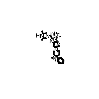 CCCC(c1nc2cc(N3CCC(c4ccccc4)(N(C)C)CC3)cnc2n1CC)N1CC(C)NC(C)C1